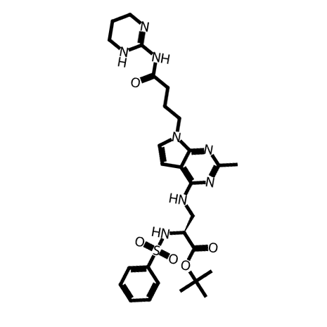 Cc1nc(NC[C@H](NS(=O)(=O)c2ccccc2)C(=O)OC(C)(C)C)c2ccn(CCCC(=O)NC3=NCCCN3)c2n1